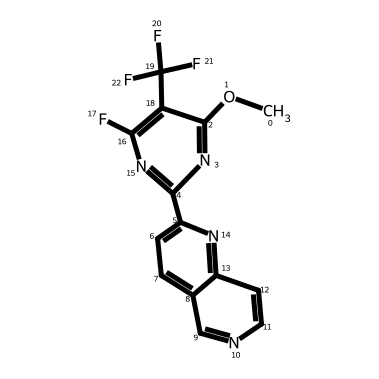 COc1nc(-c2ccc3cnccc3n2)nc(F)c1C(F)(F)F